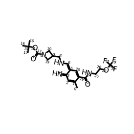 CC1=CC(=N)/C(=C\NCC2CN(C(=O)OC(C)(C)C)C2)C=C1C(=O)NCCOC(F)(F)F